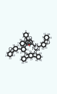 c1ccc2c(c1)oc1ccc(-c3cc(-c4ccc5oc6ccccc6c5c4)cc(-n4c5ccccc5c5cc6c7ccccc7n(-c7nc(-c8ccc9oc%10ccccc%10c9c8)nc(-c8ccc9oc%10ccccc%10c9c8)n7)c6cc54)c3)cc12